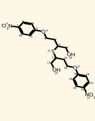 O=[N+]([O-])c1ccc(OCCC(CO)SC(CO)CCOc2ccc([N+](=O)[O-])cc2)cc1